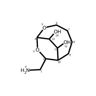 NCC1OC2OCCCCC1C(O)C2O